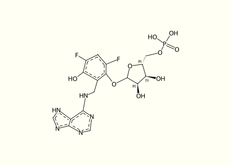 O=P(O)(O)OC[C@H]1OC(Oc2c(F)cc(F)c(O)c2CNc2ncnc3nc[nH]c23)[C@H](O)[C@@H]1O